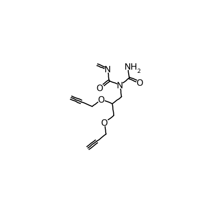 C#CCOCC(CN(C(N)=O)C(=O)N=C)OCC#C